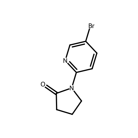 O=C1CCCN1c1ccc(Br)cn1